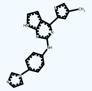 Cc1csc(-c2nc(Nc3ccc(-n4ccnc4)cc3)nc3[nH]ccc23)c1